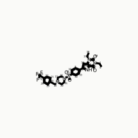 CCn1c(=O)c2[nH]c(-c3ccc(S(=O)(=O)N4CCN(Cc5ccc(C(F)(F)F)cc5)CC4)cc3)cc2n(CC)c1=O